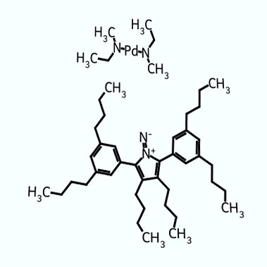 CCCCC1=C(c2cc(CCCC)cc(CCCC)c2)[N+](=[N-])C(c2cc(CCCC)cc(CCCC)c2)=C1CCCC.CC[N](C)[Pd][N](C)CC